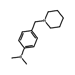 CB(C)c1ccc(CN2CCCCC2)cc1